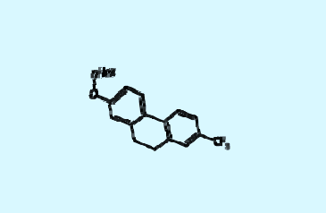 CCCCCCOc1ccc2c(c1)CCc1cc(C(F)(F)F)ccc1-2